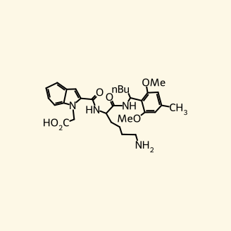 CCCCC(NC(=O)C(CCCCN)NC(=O)c1cc2ccccc2n1CC(=O)O)c1c(OC)cc(C)cc1OC